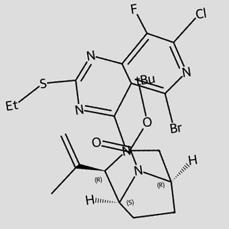 C=C(C)[C@@H]1[C@@H]2CC[C@H](CN1c1nc(SCC)nc3c(F)c(Cl)nc(Br)c13)N2C(=O)OC(C)(C)C